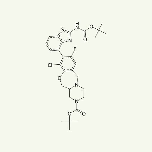 CC(C)(C)OC(=O)Nc1nc2c(-c3c(F)cc4c(c3Cl)OCC3CN(C(=O)OC(C)(C)C)CCN3C4)cccc2s1